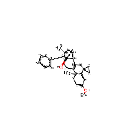 CCOC1=CCC2(C)C(=C1)C1(CC1)CC1=C2CCC23C(=O)C(c4ccccc4)C[C@]2(C)CC=C13